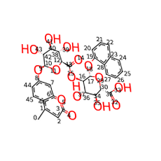 Cc1cc(=O)oc2cc(O[C@@H]3O[C@H](C(=O)O[C@H]4[C@H](Oc5cccc6ccccc56)O[C@H](C(=O)O)[C@@H](O)[C@@H]4O)[C@@H](O)[C@H](O)[C@H]3O)ccc12